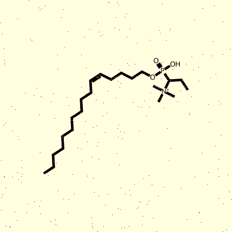 CCCCCCCCCC/C=C\CCCCOP(=O)(O)C(CC)[N+](C)(C)C